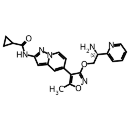 Cc1onc(OC[C@@H](N)c2ccccn2)c1-c1ccn2nc(NC(=O)C3CC3)cc2c1